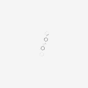 Cc1cc(NC(=O)c2ccc(C3=CCNCC3)c(F)c2)ccc1N1CCNCC1